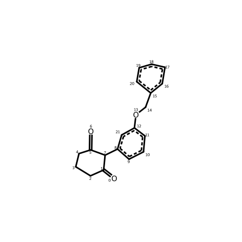 O=C1CCCC(=O)C1c1cccc(OCc2ccccc2)c1